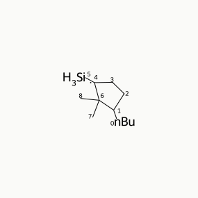 CCCCC1CC[C]([SiH3])C1(C)C